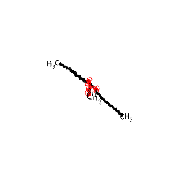 CCCCCCCCCCCCCCCC(=O)OCC(COC(=O)CCCCCCCCCCCCCCC)OCOC